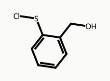 OCc1ccccc1SCl